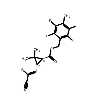 Cc1c(F)c(F)c(COC(=O)[C@@H]2[C@H](/C=C(\F)C#N)C2(C)C)c(F)c1F